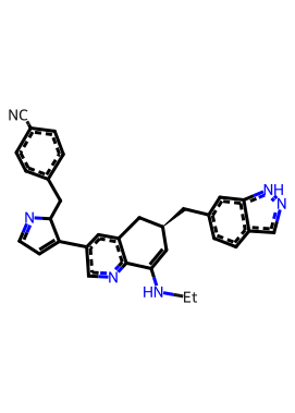 CCNC1=C[C@H](Cc2ccc3cn[nH]c3c2)Cc2cc(C3=CC=NC3Cc3ccc(C#N)cc3)cnc21